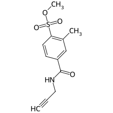 C#CCNC(=O)c1ccc(S(=O)(=O)OC)c(C)c1